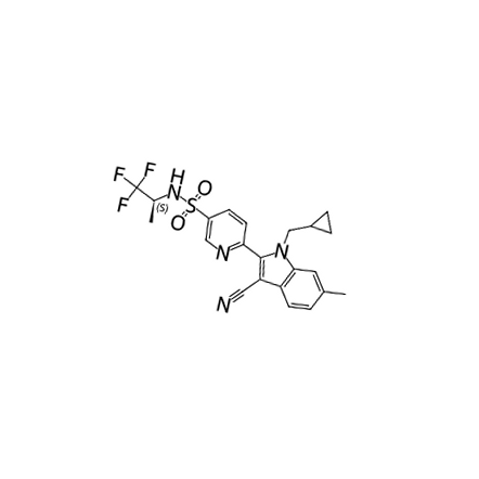 Cc1ccc2c(C#N)c(-c3ccc(S(=O)(=O)N[C@@H](C)C(F)(F)F)cn3)n(CC3CC3)c2c1